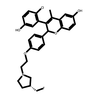 CC1=C(c2cc(O)ccc2Cl)C(c2ccc(OCCN3CC[C@@H](CF)C3)cc2)Oc2ccc(O)cc21